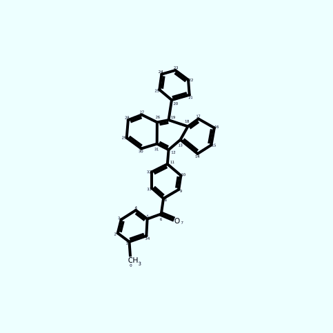 Cc1cccc(C(=O)c2ccc(-c3c4ccccc4c(-c4ccccc4)c4ccccc34)cc2)c1